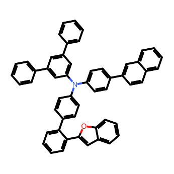 c1ccc(-c2cc(-c3ccccc3)cc(N(c3ccc(-c4ccc5ccccc5c4)cc3)c3ccc(-c4ccccc4-c4cc5ccccc5o4)cc3)c2)cc1